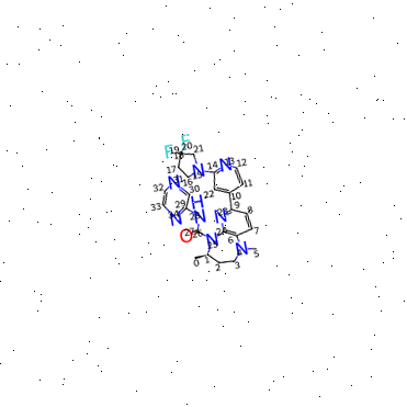 C[C@@H]1CCN(C)c2ccc(-c3ccnc(N4CCC(F)(F)C4)c3)nc2N1C(=O)Nc1cnccn1